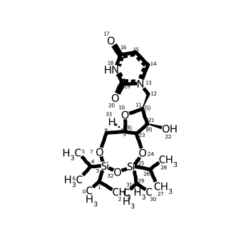 CC(C)[Si]1(C(C)C)OC[C@H]2O[C@@H](Cn3ccc(=O)[nH]c3=O)[C@@H](O)C2O[Si](C(C)C)(C(C)C)O1